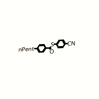 CCCCCc1ccc(C(=O)Sc2ccc(C#N)cc2)cc1